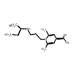 [C-]#[N+]C([N+]#[C-])=C1C=C(C)N(CCCNC(CC(=O)O)C(=O)O)C(C)=C1